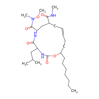 CCCCCCCC1CC/C=C/CC(C(=O)NC)CC(C(=O)N(C)OC)NC(=O)C(CC(C)C)NC(=O)O1